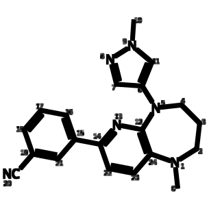 CN1CCCN(c2cnn(C)c2)c2nc(-c3cccc(C#N)c3)ccc21